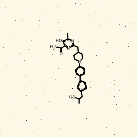 Cc1nc(CC2CCN(c3ccc(-c4ccc(CC(C)O)cc4)cc3)CC2)nc(C(N)=O)c1O